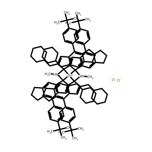 C[SiH]1[C]2(C(CC3CCCCC3)=Cc3c2cc2c(c3-c3ccc(C(C)(C)C)cc3)CCC2)[Zr+2]2([C]13C(CC1CCCCC1)=Cc1c3cc3c(c1-c1ccc(C(C)(C)C)cc1)CCC3)[C]1(C(CC3CCCCC3)=Cc3c1cc1c(c3-c3ccc(C(C)(C)C)cc3)CCC1)[SiH](C)[C]21C(CC2CCCCC2)=Cc2c1cc1c(c2-c2ccc(C(C)(C)C)cc2)CCC1.[Cl-].[Cl-]